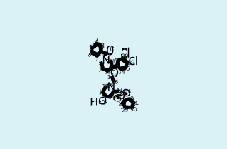 O=C(c1ccccc1)N1CCCC(OCCN2CCC(O)CC2CS(=O)(=O)c2ccccc2)(c2ccc(Cl)c(Cl)c2)C1